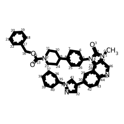 Cn1c(=O)n(-c2ccc(C3CCN(C(=O)OCc4ccccc4)CC3)cc2)c2c3cc(-c4cnn(-c5ccccc5)c4)ccc3ncc21